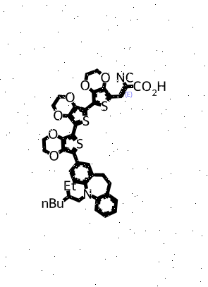 CCCCC(CC)CN1c2ccccc2CCc2cc(-c3sc(-c4sc(-c5sc(/C=C(\C#N)C(=O)O)c6c5OCCO6)c5c4OCCO5)c4c3OCCO4)ccc21